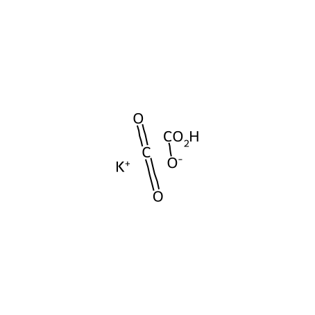 O=C([O-])O.O=C=O.[K+]